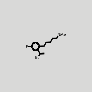 C=C(CC)c1cc(F)ccc1CCCCCNC